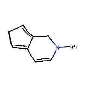 CC(C)N1C=CC2=CCC=C2C1